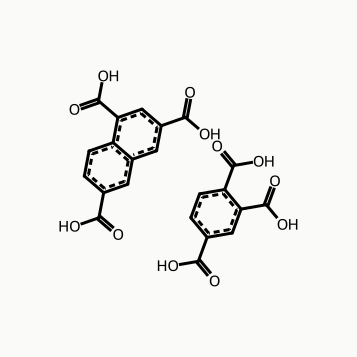 O=C(O)c1ccc(C(=O)O)c(C(=O)O)c1.O=C(O)c1ccc2c(C(=O)O)cc(C(=O)O)cc2c1